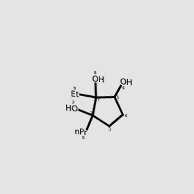 CCCC1(O)CC[C](O)C1(O)CC